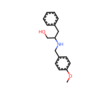 COc1ccc(CNC(CO)Cc2ccccc2)cc1